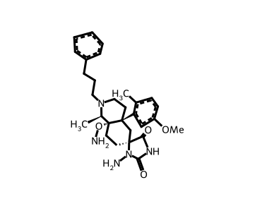 COc1ccc(C)c([C@]23CCN(CCCc4ccccc4)[C@H](C)[C@]2(ON)CC[C@]2(C3)C(=O)NC(=O)N2N)c1